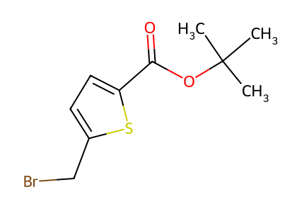 CC(C)(C)OC(=O)c1ccc(CBr)s1